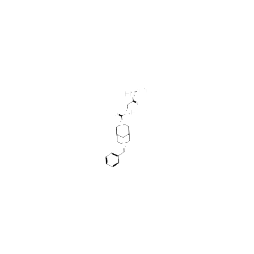 CCCNC(=O)CNC(=O)N1CC2CC(CN(Cc3ccccc3)C2)C1